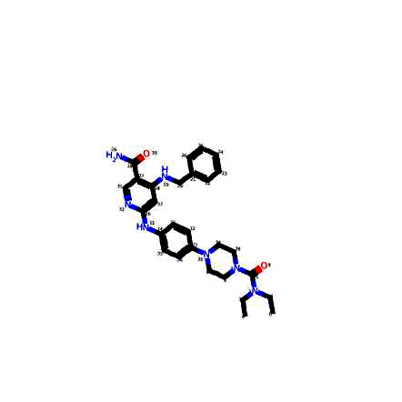 CCN(CC)C(=O)N1CCN(c2ccc(Nc3cc(NCc4ccccc4)c(C(N)=O)cn3)cc2)CC1